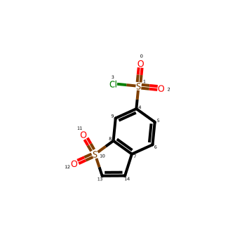 O=S(=O)(Cl)c1ccc2c(c1)S(=O)(=O)C=C2